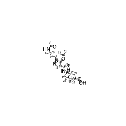 CC(=O)NC(C)(C)/C=C/n1ncc(C(=O)N[C@H]2C3CC4CC2C[C@](OO)(C4)C3)c1OC(C)C